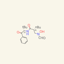 CCCC[C@H](CN(O)C=O)C(=O)N[C@H](C(=O)c1ccccc1)C(C)(C)C